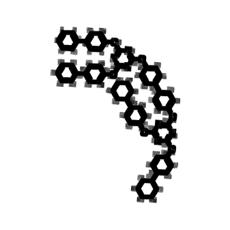 c1ccc(-c2ccc(Oc3nc(Oc4ccc(-c5ccccc5)cc4)nc(Oc4ccc(-c5ccc(Oc6nc(Oc7ccc(C8CCCCC8)cc7)nc(Oc7ccc(C8CCCCC8)cc7)n6)cc5)cc4)n3)cc2)cc1